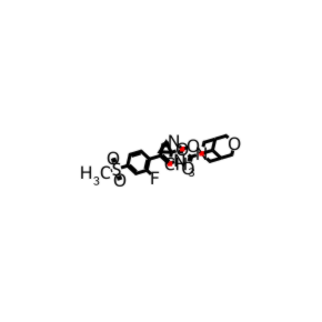 CC1(OC(=O)N2CC3COCC(C2)C3COc2ncc(-c3ccc(S(C)(=O)=O)cc3F)cn2)CC1